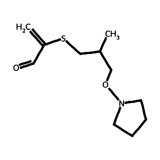 C=C(C=O)SCC(C)CON1CCCC1